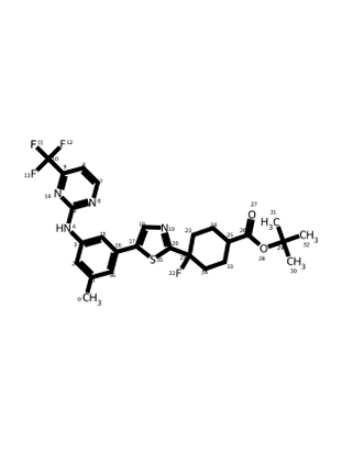 Cc1cc(Nc2nccc(C(F)(F)F)n2)cc(-c2cnc(C3(F)CCC(C(=O)OC(C)(C)C)CC3)s2)c1